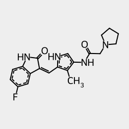 Cc1c(NC(=O)CN2CCCC2)c[nH]c1/C=C1\C(=O)Nc2ccc(F)cc21